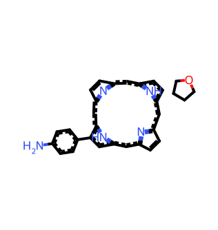 C1CCOC1.Nc1ccc(-c2cc3cc4nc(cc5ccc(cc6nc(cc2[nH]3)C=C6)[nH]5)C=C4)cc1